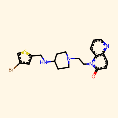 O=c1ccc2ncccc2n1CCN1CCC(NCc2cc(Br)cs2)CC1